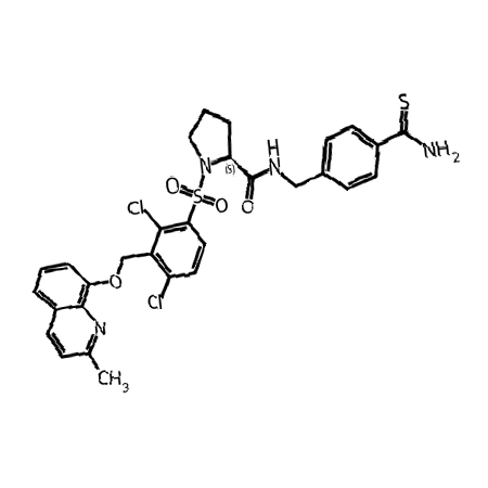 Cc1ccc2cccc(OCc3c(Cl)ccc(S(=O)(=O)N4CCC[C@H]4C(=O)NCc4ccc(C(N)=S)cc4)c3Cl)c2n1